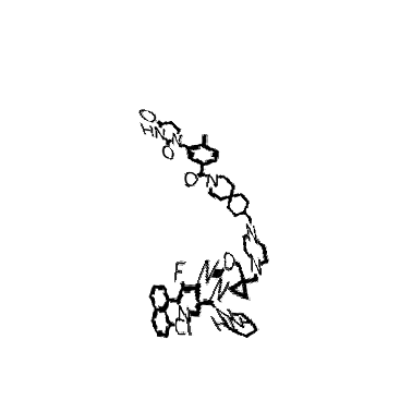 Cc1ccc(C(=O)N2CCC3(CCC(CN4CCN(CC5(COc6nc(N7CC8CCC(C7)N8)c7cnc(-c8cccc9cccc(Cl)c89)c(F)c7n6)CC5)CC4)CC3)CC2)cc1N1CCC(=O)NC1=O